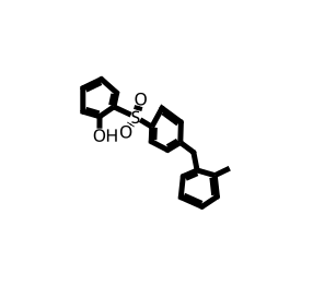 Cc1ccccc1Cc1ccc(S(=O)(=O)c2ccccc2O)cc1